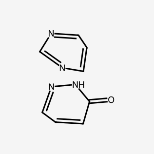 O=c1cccn[nH]1.c1cncnc1